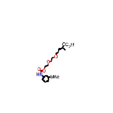 CSc1cccc(NC(=O)OCCOCCOCCC=C(C)C(=O)O)c1